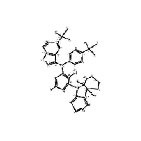 Cc1cc(N(c2ccc(C(C)(C)C)cc2)c2csc3ccc(C(C)(C)C)cc23)c(Cl)c(N2c3ccccc3C3(C)CCCCC23C)c1